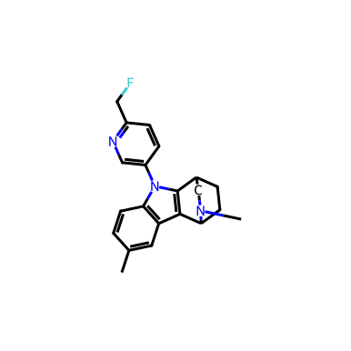 Cc1ccc2c(c1)c1c(n2-c2ccc(CF)nc2)C2CCC1N(C)C2